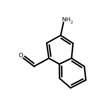 Nc1cc([C]=O)c2ccccc2c1